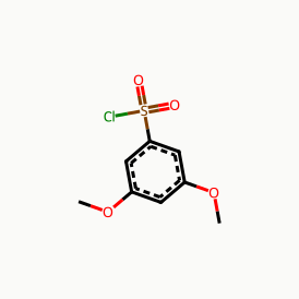 COc1cc(OC)cc(S(=O)(=O)Cl)c1